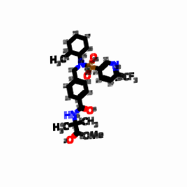 COC(=O)C(C)(C)NC(=O)c1ccc(CN(C2CCCCC2C)S(=O)(=O)c2ccc(C(F)(F)F)nc2)cc1